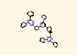 c1ccc(-c2nc(-c3ccccc3)nc(-c3cccc(-c4cc(-c5ccccn5)nc(-c5cc(-c6nc(-c7ccccc7)nc(-c7ccccc7)n6)ccn5)c4)c3)n2)cc1